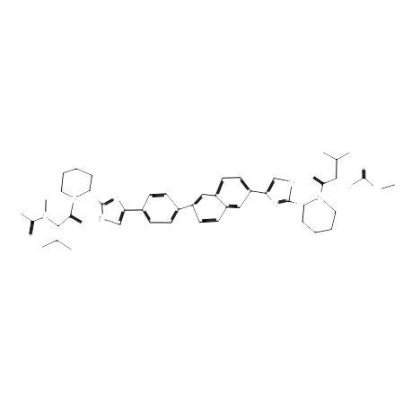 COC(=O)N[C@H](C(=O)N1CCCC[C@H]1c1nc(-c2ccc3cc(-c4ccc(-c5c[nH]c([C@@H]6CCCCN6C(=O)[C@H](C(C)C)N(C)C(=O)O)n5)cc4)ccc3c2)c[nH]1)C(C)C